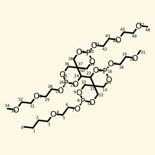 CCCCOCCOP1OCC2(CO1)COP(OCCOC)OC2C1OP(OCCOCCOC)OCC12COP(OCCOCCOC)OC2